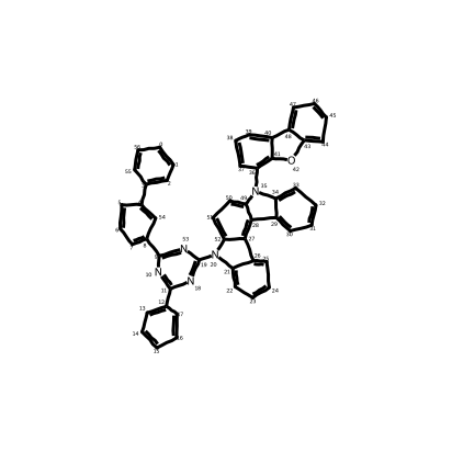 c1ccc(-c2cccc(-c3nc(-c4ccccc4)nc(-n4c5ccccc5c5c6c7ccccc7n(-c7cccc8c7oc7ccccc78)c6ccc54)n3)c2)cc1